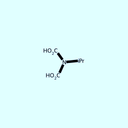 CC(C)N(C(=O)O)C(=O)O